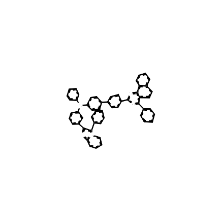 c1ccc(-c2nc(-c3ccc(-c4ccc(N(c5ccccc5)c5cccc(-c6nc7ccccn7c6-c6ccccc6)c5)cc4)cc3)nc3c2ccc2ccccc23)cc1